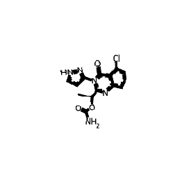 C[C@H](OC(N)=O)c1nc2cccc(Cl)c2c(=O)n1-c1cc[nH]n1